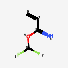 C=CC(=N)OC(F)F